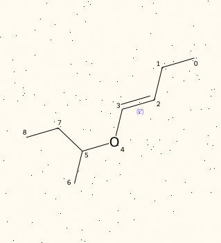 CC/C=C/OC(C)CC